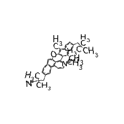 Cc1c2c(c(C)c3cc(CC(C)(C)C)ccc13)-c1c3c(cc4ccc(CC(C)(C)C#N)cc4c3cc[n+]1C)O2